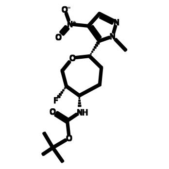 Cn1ncc([N+](=O)[O-])c1[C@@H]1CC[C@H](NC(=O)OC(C)(C)C)[C@H](F)CO1